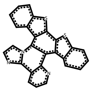 c1ccc2c(c1)sc1c3sc4ccccc4c3c3c(c4ncccc4c4nccn43)c21